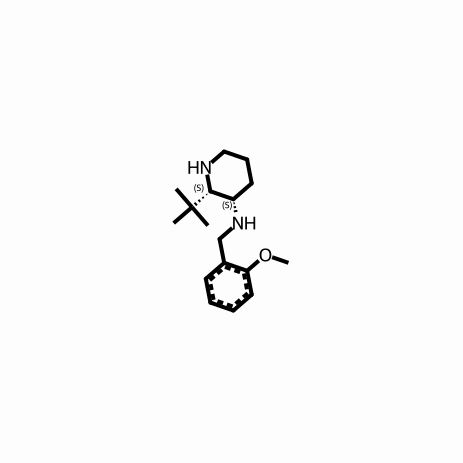 COc1ccccc1CN[C@H]1CCCN[C@H]1C(C)(C)C